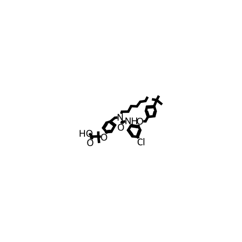 CCCCCCCN(Cc1ccc(OC(C)(C)C(=O)O)cc1)C(=O)Nc1ccc(Cl)cc1OCc1ccc(C(C)(C)C)cc1